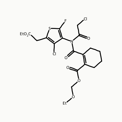 CCOCOC(=O)C1=C(C(=O)N(C(=O)CCl)c2c(F)sc(CC(=O)OCC)c2Cl)CCCC1